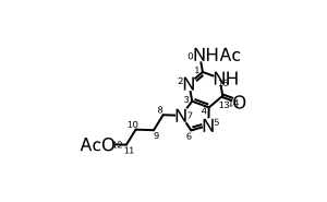 CC(=O)Nc1nc2c(ncn2CCCCOC(C)=O)c(=O)[nH]1